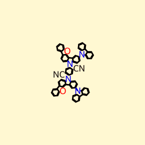 N#Cc1cc(-n2c3ccc(-n4c5ccccc5c5ccccc54)cc3c3c4oc5ccccc5c4ccc32)c(C#N)cc1-n1c2ccc(-n3c4ccccc4c4ccccc43)cc2c2c3oc4ccccc4c3ccc21